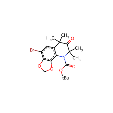 CC(C)(C)OC(=O)N1c2c(cc(Br)c3c2OCO3)C(C)(C)C(=O)C1(C)C